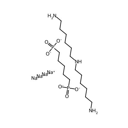 NCCCCCCNCCCCCCN.O=P([O-])([O-])CCCCCP(=O)([O-])[O-].[Na+].[Na+].[Na+].[Na+]